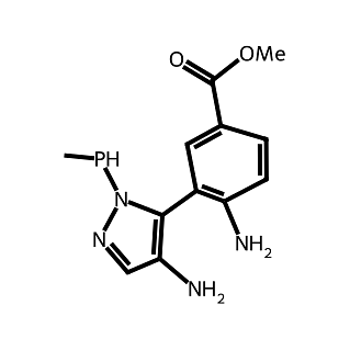 COC(=O)c1ccc(N)c(-c2c(N)cnn2PC)c1